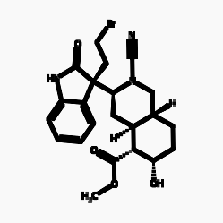 COC(=O)[C@@H]1[C@H]2C[C@@H]([C@@]3(CCBr)C(=O)Nc4ccccc43)N(C#N)C[C@@H]2CC[C@@H]1O